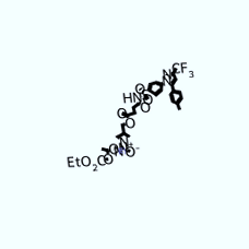 CCOC(=O)OC(C)O/N=[N+](/[O-])N1CC(COC(=O)CCC(=O)NS(=O)(=O)c2ccc(-n3nc(C(F)(F)F)cc3-c3ccc(C)cc3)cc2)C1